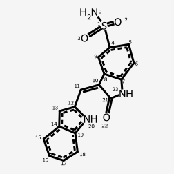 NS(=O)(=O)c1ccc2c(c1)/C(=C/c1cc3ccccc3[nH]1)C(=O)N2